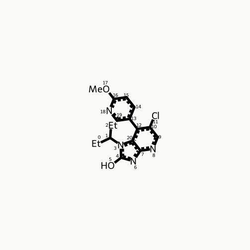 CCC(CC)n1c(O)nc2ncc(Cl)c(-c3ccc(OC)nc3)c21